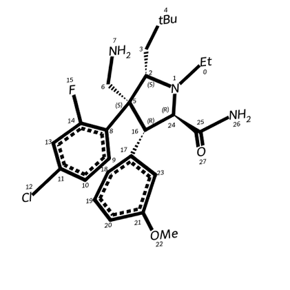 CCN1[C@@H](CC(C)(C)C)[C@](CN)(c2ccc(Cl)cc2F)[C@@H](c2cccc(OC)c2)[C@@H]1C(N)=O